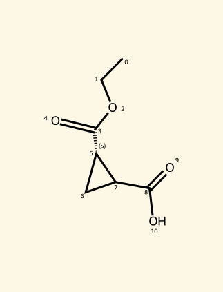 CCOC(=O)[C@H]1CC1C(=O)O